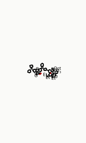 CCCCCCCCn1c(C)c(C2(c3ccc(N(CC)CC)cc3OCC)OC(=O)c3cccnc32)c2ccc(-c3ccc(N(c4ccccc4)c4ccc5c(c4)Oc4cc(N(c6ccccc6)c6ccccc6)ccc4C54OC(=O)c5ccccc54)cc3)cc21